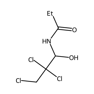 CCC(=O)NC(O)C(Cl)(Cl)CCl